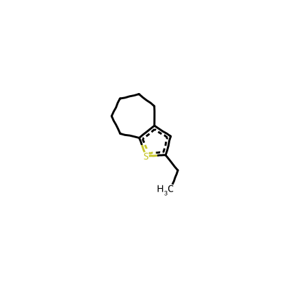 CCc1cc2c(s1)CCCCC2